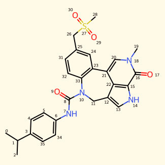 CC(C)c1ccc(NC(=O)N2Cc3c[nH]c4c(=O)n(C)cc(c34)-c3cc(CS(C)(=O)=O)ccc32)cc1